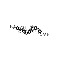 COc1ccc(CN2CCN(C(=O)c3cc4cc(Oc5ccc(N(C)C(=O)c6ccc(C(F)(F)F)cc6)cn5)ccc4n3C)CC2)cc1